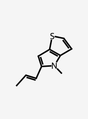 C/C=C/c1cc2sccc2n1C